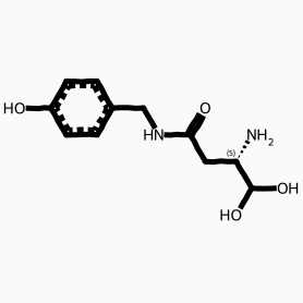 N[C@@H](CC(=O)NCc1ccc(O)cc1)C(O)O